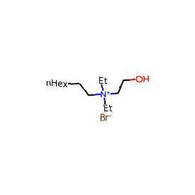 CCCCCCCC[N+](CC)(CC)CCO.[Br-]